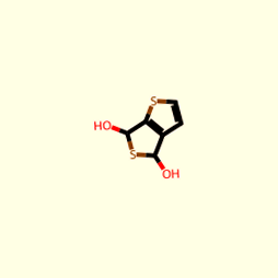 OC1SC(O)c2sccc21